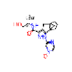 CC(C)(C)[C@@H](CO)NC(=O)c1nn(-c2c[n+]([O-])ccn2)c2c1CC13CCCC21C3